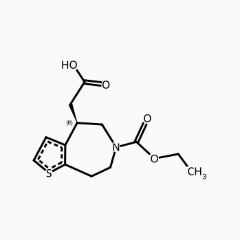 CCOC(=O)N1CCc2sccc2[C@@H](CC(=O)O)C1